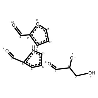 O=CC(O)CO.O=Cc1ccc[nH]1.O=Cc1ccco1